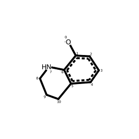 [O]c1cccc2c1NCCC2